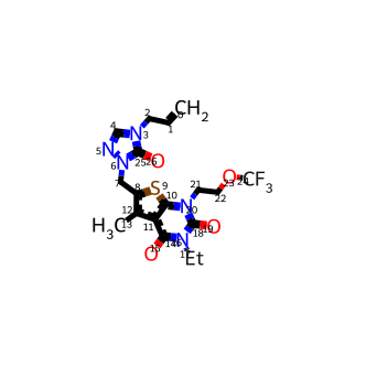 C=CCn1cnn(Cc2sc3c(c2C)c(=O)n(CC)c(=O)n3CCOC(F)(F)F)c1=O